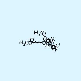 CCOC(=O)CCCCCCOc1cc2c(Nc3ccc(F)c(Cl)c3)ncnc2cc1OCCOC